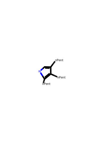 CCCCCC1=C[N]C(CCCCC)=C1CCCCC